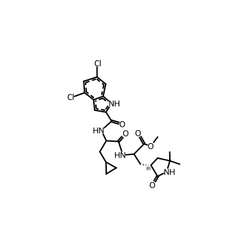 COC(=O)C(C[C@@H]1CC(C)(C)NC1=O)NC(=O)C(CC1CC1)NC(=O)c1cc2c(Cl)cc(Cl)cc2[nH]1